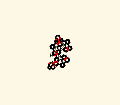 c1ccc(-c2cccc(-c3ccccc3)c2N2c3ccccc3B3c4cc5c(cc4Nc4cc(N6C7CC8CC9(CCC6C9)C8C7)cc2c43)N(c2c(-c3ccccc3)cccc2-c2ccccc2)c2cc(N3C4CCCC3CCC4)cc3c2B5c2ccccc2N3c2c(-c3ccccc3)cccc2-c2ccccc2)cc1